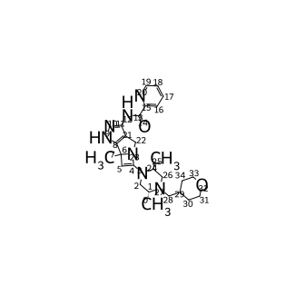 C[C@@H]1CN(C2=CC3(C)c4[nH]nc(NC(=O)c5ccccn5)c4CN23)[C@@H](C)CN1CC1CCOCC1